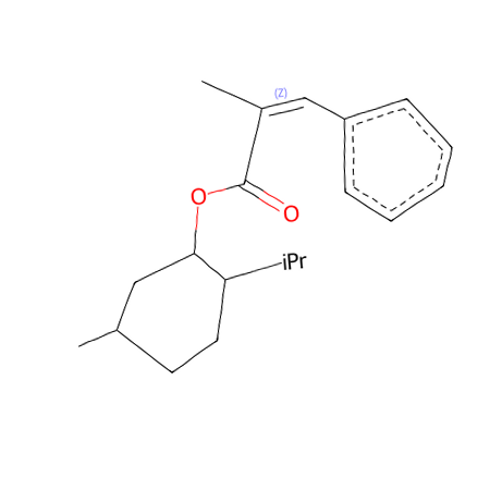 C/C(=C/c1ccccc1)C(=O)OC1CC(C)CCC1C(C)C